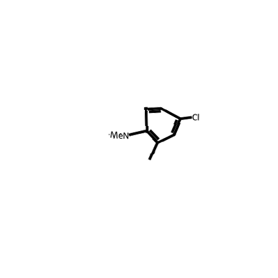 C[N]c1ccc(Cl)cc1C